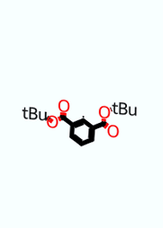 CC(C)(C)OC(=O)c1[c]c(C(=O)OC(C)(C)C)ccc1